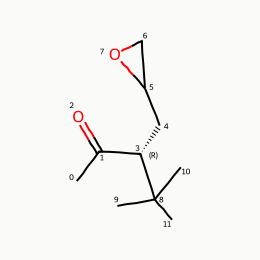 CC(=O)[C@H](CC1CO1)C(C)(C)C